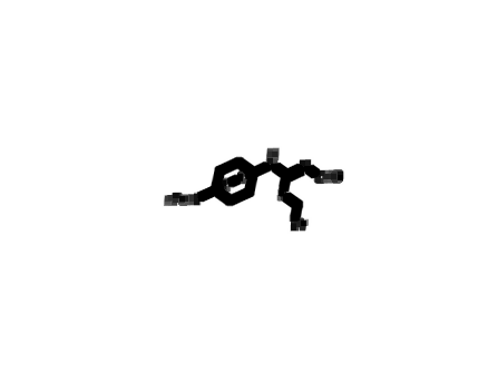 CCCCCC12CCC(N/C(=N/C=O)SCC(C)C)(CC1)CC2